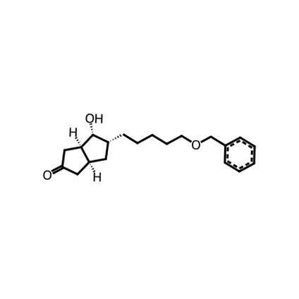 O=C1C[C@@H]2C[C@@H](CCCCCOCc3ccccc3)[C@@H](O)[C@@H]2C1